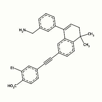 CCc1cc(C#Cc2ccc3c(c2)C(c2cccc(CN)c2)=CCC3(C)C)ccc1C(=O)O